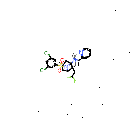 CC(=O)N(Cc1ccccn1)C12CCCC([C@H]1CC(F)F)N2S(=O)(=O)c1cc(Cl)cc(Cl)c1